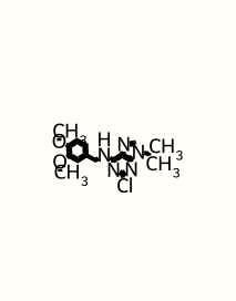 COc1ccc(CNc2nc(Cl)nc3c2ncn3C(C)C)cc1OC